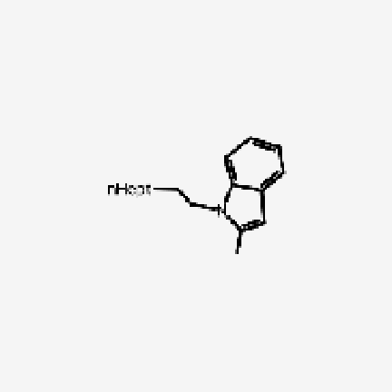 CCCCCCCCCn1c(C)cc2ccccc21